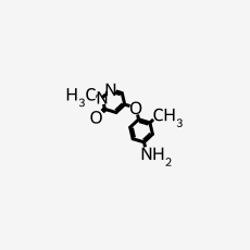 Cc1cc(N)ccc1Oc1cnn(C)c(=O)c1